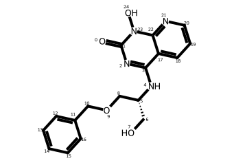 O=c1nc(N[C@H](CO)COCc2ccccc2)c2cccnc2n1O